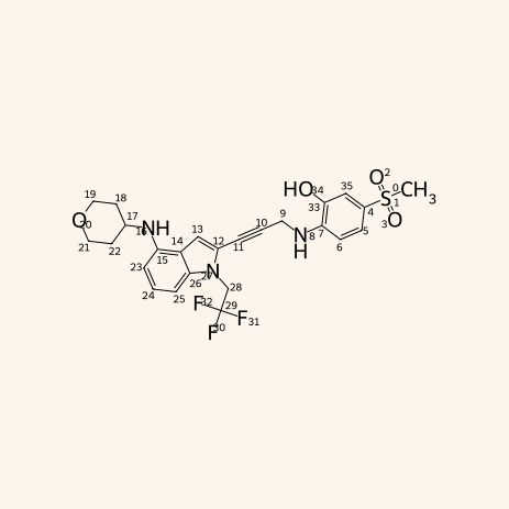 CS(=O)(=O)c1ccc(NCC#Cc2cc3c(NC4CCOCC4)cccc3n2CC(F)(F)F)c(O)c1